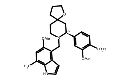 COc1cc([C@@H]2CC3(CCCO3)CCN2Cc2c(OC)cc(C)c3[nH]ccc23)ccc1C(=O)O